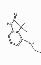 CC1(C)C(=O)Nc2cccc(NCC=O)c21